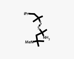 CNC(C)(C)CC(C)(N)SSC(C)(C)CC(C)C